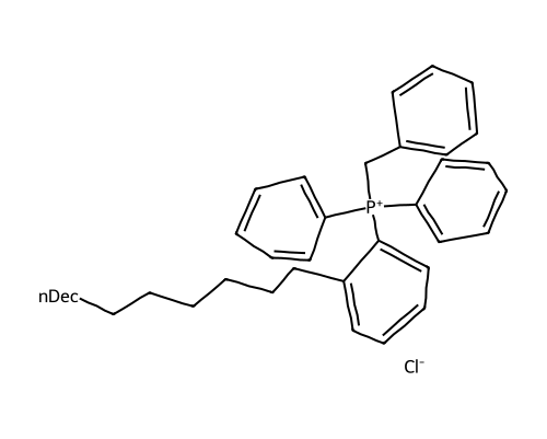 CCCCCCCCCCCCCCCCc1ccccc1[P+](Cc1ccccc1)(c1ccccc1)c1ccccc1.[Cl-]